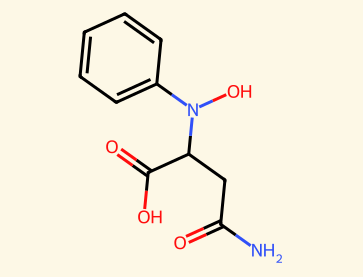 NC(=O)CC(C(=O)O)N(O)c1ccccc1